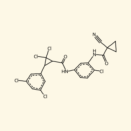 N#CC1(C(=O)Nc2cc(NC(=O)C3C(c4cc(Cl)cc(Cl)c4)C3(Cl)Cl)ccc2Cl)CC1